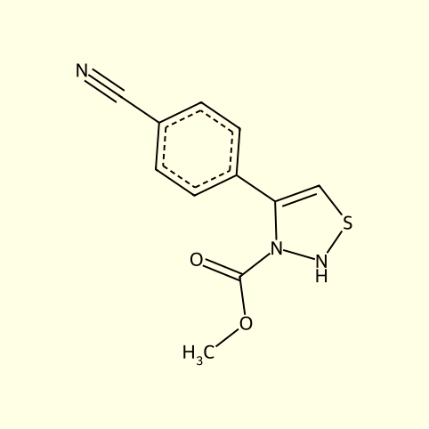 COC(=O)N1NSC=C1c1ccc(C#N)cc1